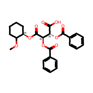 COC1CCCC[C@H]1OC(=O)[C@H](OC(=O)c1ccccc1)[C@@H](OC(=O)c1ccccc1)C(=O)O